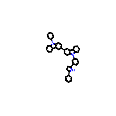 c1ccc(-c2ccc(-c3cccc(-n4c5ccccc5c5cc(-c6ccc7c(c6)c6ccccc6n7-c6ccccc6)ccc54)c3)[nH]2)cc1